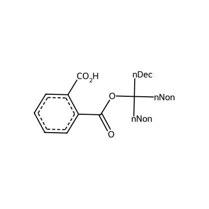 CCCCCCCCCCC(CCCCCCCCC)(CCCCCCCCC)OC(=O)c1ccccc1C(=O)O